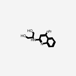 CCCc1cc(NC(CO)CO)nc2ccccc12